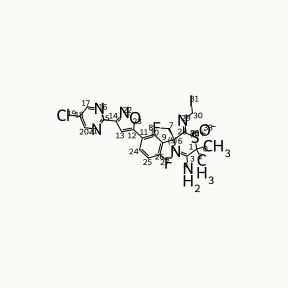 CC1(C)C(N)=N[C@](CF)(c2cc(-c3cc(-c4ncc(Cl)cn4)no3)ccc2F)C(=NCI)[S@@+]1[O-]